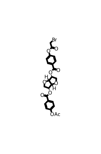 CC(=O)Oc1ccc(C(=O)O[C@@H]2CO[C@H]3[C@@H]2OC[C@H]3OC(=O)c2ccc(OC(=O)CBr)cc2)cc1